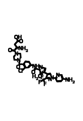 Cn1c(-c2cn(-c3ccc(N)cn3)nc2C(F)(F)F)cnc1C(=O)Nc1ccc(C(=O)N2CCN(C(=O)[C@H](N)CC(=O)O)CC2)c(Cl)c1